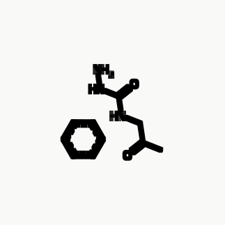 CC(=O)CNC(=O)NN.c1ccccc1